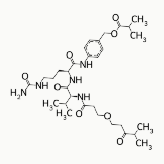 CC(C)C(=O)CCOCCC(=O)N[C@H](C(=O)N[C@@H](CCCNC(N)=O)C(=O)Nc1ccc(COC(=O)C(C)C)cc1)C(C)C